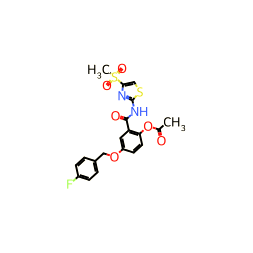 CC(=O)Oc1ccc(OCc2ccc(F)cc2)cc1C(=O)Nc1nc(S(C)(=O)=O)cs1